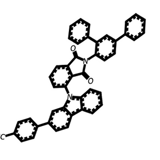 N#Cc1ccc(-c2ccc3c4ccccc4n(-c4cccc5c4C(=O)N(c4ccc(-c6ccccc6)cc4-c4ccccc4)C5=O)c3c2)cc1